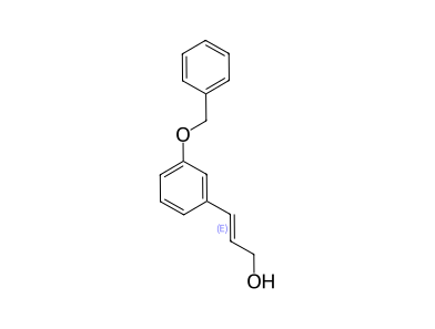 OC/C=C/c1cccc(OCc2ccccc2)c1